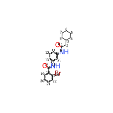 O=C(CC1CCCCC1)Nc1cccc(NC(=O)c2ccccc2Br)c1